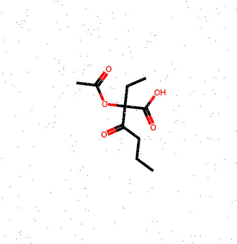 CCCC(=O)C(CC)(OC(C)=O)C(=O)O